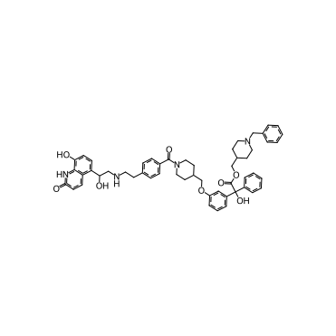 O=C(c1ccc(CCNCC(O)c2ccc(O)c3[nH]c(=O)ccc23)cc1)N1CCC(COc2cccc(C(O)(C(=O)OCC3CCN(Cc4ccccc4)CC3)c3ccccc3)c2)CC1